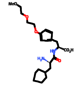 COCCOCCOc1ccc(C[C@H](NC(=O)[C@@H](N)CC2CCCCC2)C(=O)O)cc1